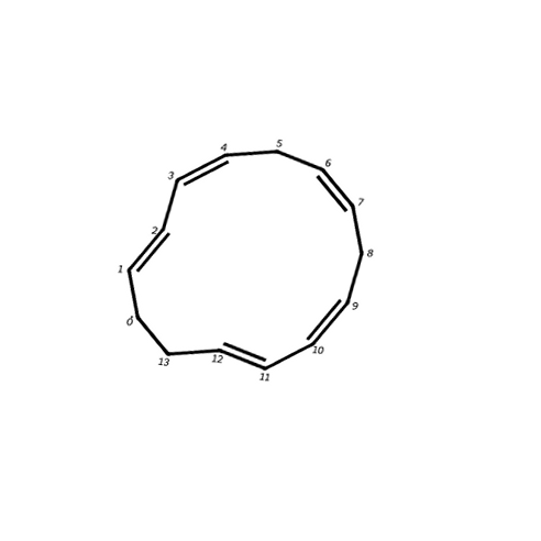 [CH]1/C=C/C=C\C/C=C\C/C=C\C=C\C1